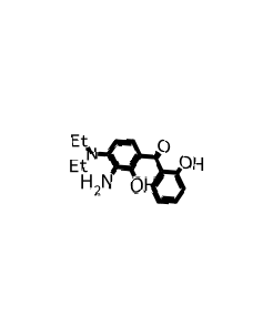 CCN(CC)c1ccc(C(=O)c2ccccc2O)c(O)c1N